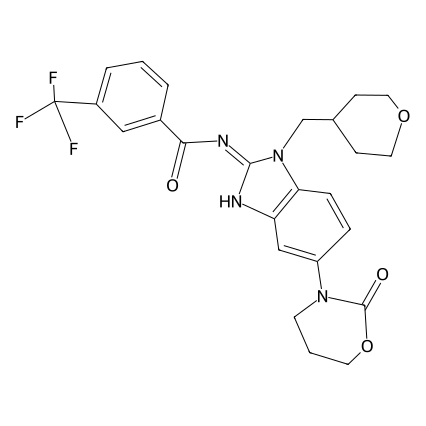 O=C(/N=c1\[nH]c2cc(N3CCCOC3=O)ccc2n1CC1CCOCC1)c1cccc(C(F)(F)F)c1